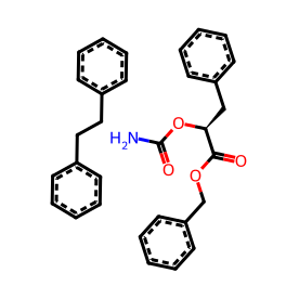 NC(=O)O[C@@H](Cc1ccccc1)C(=O)OCc1ccccc1.c1ccc(CCc2ccccc2)cc1